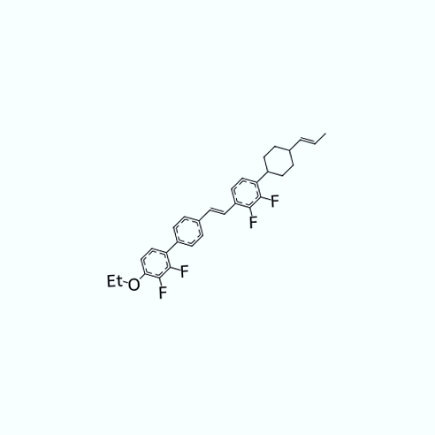 C/C=C/C1CCC(c2ccc(/C=C/c3ccc(-c4ccc(OCC)c(F)c4F)cc3)c(F)c2F)CC1